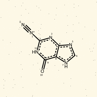 N#[N+]c1nc2nc[nH]c2c(=O)[nH]1